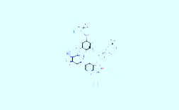 CC(C)n1cnc2cc(-c3cnc4c(c3)N([C@H]3C[C@@](C)(N5CCCC6(CC6)C5)C3)C(=O)C4(C)C)nc(Nc3cc(C(=O)NC4(C(F)F)CC4)c(Cl)c(F)c3F)c21